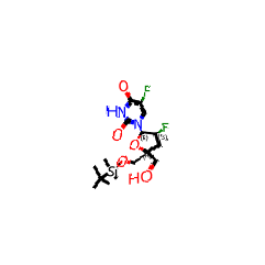 CC(C)(C)[Si](C)(C)OC[C@]1(CO)C[C@H](F)[C@H](n2cc(F)c(=O)[nH]c2=O)O1